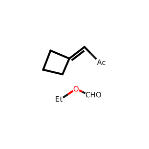 CC(=O)C=C1CCC1.CCOC=O